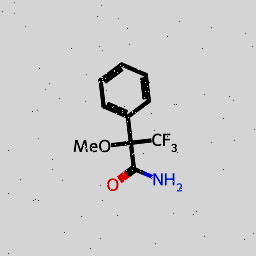 COC(C(N)=O)(c1ccccc1)C(F)(F)F